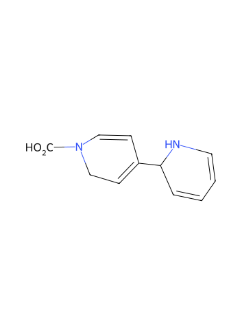 O=C(O)N1C=CC(C2C=CC=CN2)=CC1